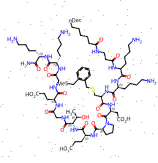 CCCCCCCCCCCCCCCC(=O)NCCC(=O)NC(CCCCN)C(=O)N[C@@H](CCCCN)C(=O)NC(CSCc1ccccc1CSC)C(=O)N[C@@H](CC(=O)O)C(=O)N1CCC[C@H]1C(=O)N[C@@H](CCC(=O)O)C(=O)N[C@H](C(=O)NCC(=O)N[C@@H](CCC(=O)O)C(=O)NCC(=O)N[C@@H](CCCCN)C(=O)N[C@@H](CCCCN)C(N)=O)[C@@H](C)O